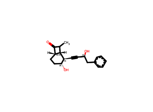 CC1C(=O)[C@H]2CC[C@@H](O)[C@H](C#C[C@@H](O)Cc3ccccc3)[C@@H]12